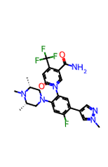 C[C@@H]1CN(c2cc(F)c(-c3cnn(C)c3)cc2-n2cc(C(N)=O)c(C(F)(F)F)cc2=O)C[C@H](C)N1C